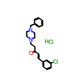 Cl.O=C(C=Cc1cccc(Cl)c1)CCN1CCN(Cc2ccccc2)CC1